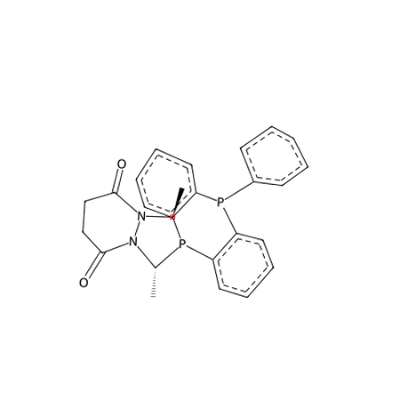 C[C@@H]1N2C(=O)CCC(=O)N2[C@@H](C)P1c1ccccc1P(c1ccccc1)c1ccccc1